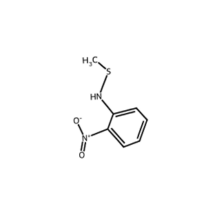 CSNc1ccccc1[N+](=O)[O-]